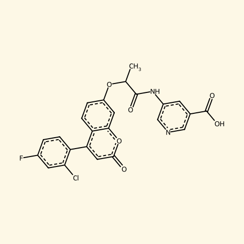 CC(Oc1ccc2c(-c3ccc(F)cc3Cl)cc(=O)oc2c1)C(=O)Nc1cncc(C(=O)O)c1